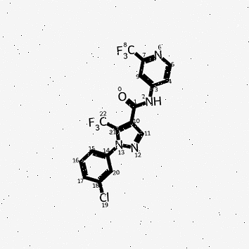 O=C(Nc1ccnc(C(F)(F)F)c1)c1cnn(-c2cccc(Cl)c2)c1C(F)(F)F